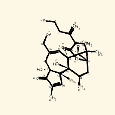 C=C(CCF)C(N)C(=O)O[C@@]12C[C@@H](C)[C@@]3(O)[C@@H](C=C(CO)C[C@]4(O)C(=O)C(C)=C[C@@H]34)[C@@H]1C2(C)C